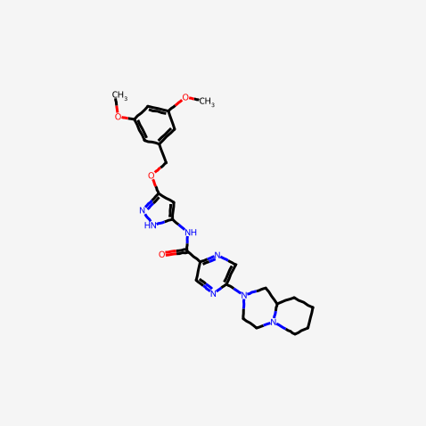 COc1cc(COc2cc(NC(=O)c3cnc(N4CCN5CCCCC5C4)cn3)[nH]n2)cc(OC)c1